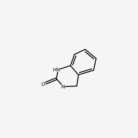 O=C1[N]Cc2ccccc2N1